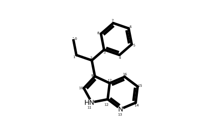 [CH2]CC(c1ccccc1)c1c[nH]c2ncccc12